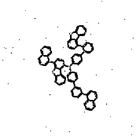 c1cc(-c2ccc(N(c3ccc(-c4ccccc4-c4cccc5oc6ccccc6c45)cc3)c3ccc(-c4cccc5ccccc45)c4sc5ccccc5c34)cc2)cc(-c2cccc3ccccc23)c1